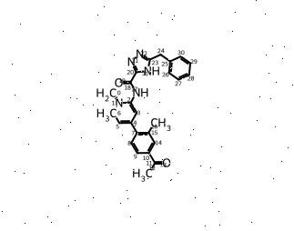 C=N/C(=C\C(=C/C)c1ccc(C(C)=O)cc1C)NC(=O)c1nnc(Cc2ccccc2)[nH]1